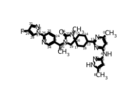 Cc1cc(Nc2cc(C)[nH]n2)nc(C2CCC3(CC2)CN([C@@H](C)c2ccc(-n4cc(F)cn4)nc2)C(=O)N3C)n1